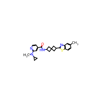 Cc1ccc2sc(C3CC4(CC(NC(=O)c5ccnc(N(C)C6CC6)c5)C4)C3)nc2c1